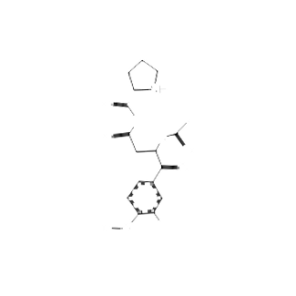 COc1ccc(C(=O)C(CC(=O)OC(=O)[C@@H]2CCCN2)SC(C)=O)cc1F